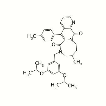 Cc1ccc(-c2c3n(c(=O)c4ncccc24)CCC(C)CN(Cc2cc(OC(C)C)cc(OC(C)C)c2)C3=O)cc1